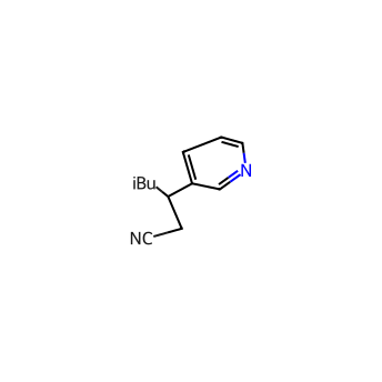 CCC(C)C(CC#N)c1cccnc1